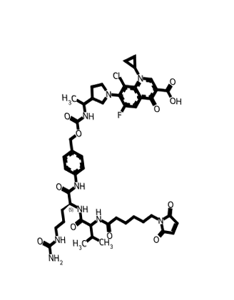 CC(C)C(NC(=O)CCCCCN1C(=O)C=CC1=O)C(=O)N[C@@H](CCCNC(N)=O)C(=O)Nc1ccc(COC(=O)NC(C)C2CCN(c3c(F)cc4c(=O)c(C(=O)O)cn(C5CC5)c4c3Cl)C2)cc1